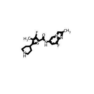 Cc1cn2cc(NC(=O)c3sc(C4CCNCC4)c(C)c3F)cc(F)c2n1